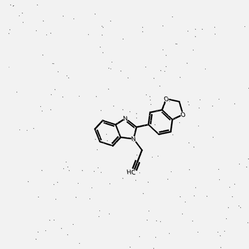 C#CCn1c(-c2ccc3c(c2)OCO3)nc2ccccc21